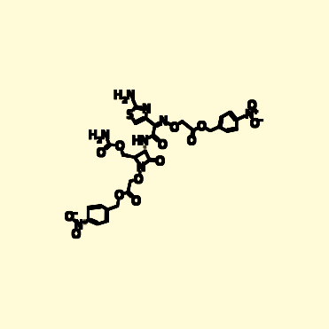 NC(=O)OC[C@H]1[C@H](NC(=O)C(=NOCC(=O)OCc2ccc([N+](=O)[O-])cc2)c2csc(N)n2)C(=O)N1OCC(=O)OCc1ccc([N+](=O)[O-])cc1